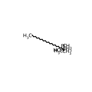 CCCCCCCCCCCCCCCCCCC(O)C([P-]C)[N+](C)(C)C